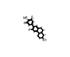 CCC1CCC2c3cc(F)c(-c4cc(F)c(C#N)c(F)c4)cc3CCC2C1